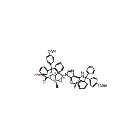 C#C[C@]1(COC(=O)CCCCCC)O[C@@H](n2cnc3c(NC(c4ccccc4)(c4ccccc4)c4ccc(OC)cc4)nc(F)nc32)C[C@@H]1OC(c1ccccc1)(c1ccccc1)c1ccc(OC)cc1